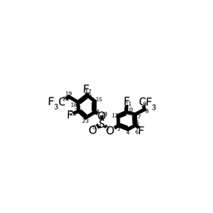 O=S(Oc1cc(F)c(CC(F)(F)F)c(F)c1)Oc1cc(F)c(CC(F)(F)F)c(F)c1